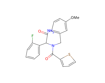 COc1cccc(CN(C(=O)c2cccs2)C(C(N)=O)c2ccccc2F)c1